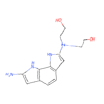 Nc1cc2ccc3cc(N(CCO)CCO)[nH]c3c2[nH]1